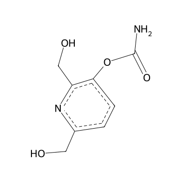 NC(=O)Oc1ccc(CO)nc1CO